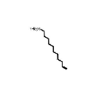 C=CC[CH]CCCCCCCCCCCCCC